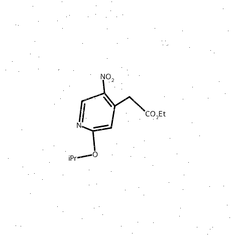 CCOC(=O)Cc1cc(OC(C)C)ncc1[N+](=O)[O-]